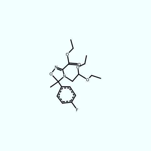 CCOC(=O)C1=NOC(C)(c2ccc(F)cc2)N1CC(OCC)OCC